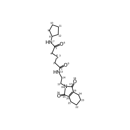 O=C(CSCC(=O)NC1CCCC1)NCCN1C(=O)C2=C(CCCC2)C1=O